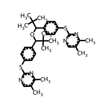 Cc1cnc(Sc2ccc(C(OC(c3ccc(Sc4ncc(C)c(C)n4)cc3)C(C)(C)C)C(C)(C)C)cc2)nc1C